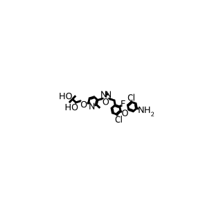 Cc1nc(OC[C@H](O)C(C)(C)O)ccc1-c1nnc(Cc2ccc(Cl)c(Oc3cc(N)cc(Cl)c3)c2F)o1